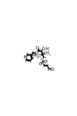 CC(=O)O[C@@H](C(=O)OCc1cccnc1)C(C)(C)COS(=O)(=O)CCCCl